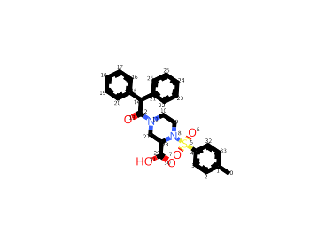 Cc1ccc(S(=O)(=O)N2CCN(C(=O)C(c3ccccc3)c3ccccc3)CC2C(=O)O)cc1